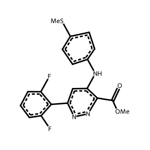 COC(=O)c1nnc(-c2c(F)cccc2F)cc1Nc1ccc(SC)cc1